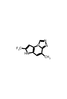 Cc1cc2[nH]c(C(F)(F)F)cc2n2cnnc12